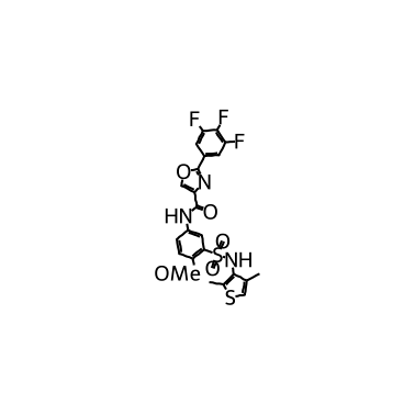 COc1ccc(NC(=O)c2coc(-c3cc(F)c(F)c(F)c3)n2)cc1S(=O)(=O)Nc1c(C)csc1C